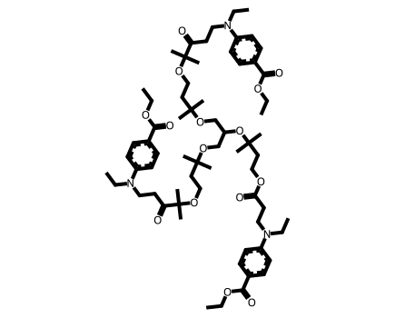 CCOC(=O)c1ccc(N(CC)CCC(=O)OCCC(C)(C)OC(COC(C)(C)CCOC(C)(C)C(=O)CCN(CC)c2ccc(C(=O)OCC)cc2)COC(C)(C)CCOC(C)(C)C(=O)CCN(CC)c2ccc(C(=O)OCC)cc2)cc1